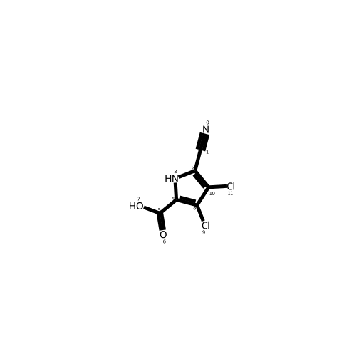 N#Cc1[nH]c(C(=O)O)c(Cl)c1Cl